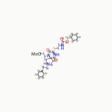 COCCN1C(=O)[C@H](CCCNC(=O)OCc2ccccc2)NC(=O)C12CCN(CCc1ccccc1)CC2